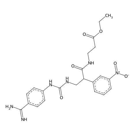 CCOC(=O)CCNC(=O)C(CNC(=O)Nc1ccc(C(=N)N)cc1)c1cccc([N+](=O)[O-])c1